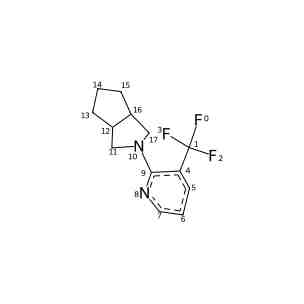 FC(F)(F)c1cccnc1N1CC2CCCC2C1